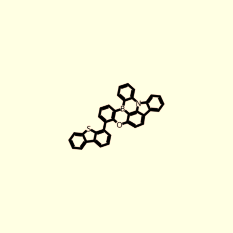 c1ccc2c(c1)B1c3cccc(-c4cccc5c4sc4ccccc45)c3Oc3ccc4c5ccccc5n-2c4c31